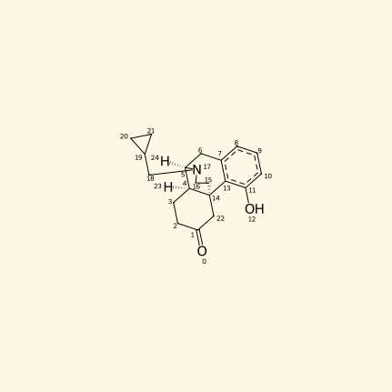 O=C1CC[C@H]2[C@H]3Cc4cccc(O)c4[C@@]2(CCN3CC2CC2)C1